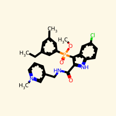 CCc1cc(C)cc(P(=O)(OC)c2c(C(=O)NCc3ccc[n+](C)c3)[nH]c3ccc(Cl)cc23)c1